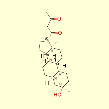 CC(=O)CC(=O)[C@H]1CC[C@H]2[C@@H]3CC[C@@H]4C[C@](C)(O)CC[C@@H]4[C@H]3CC[C@]12C